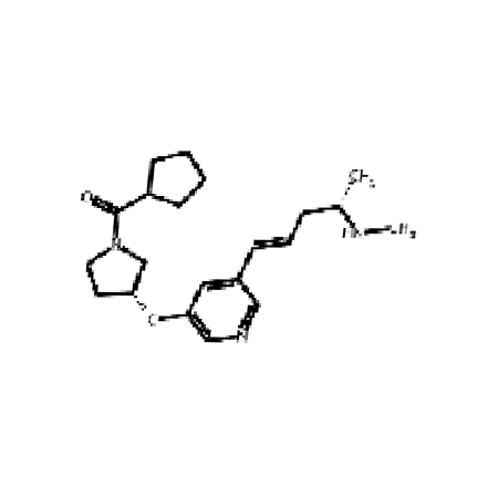 CN[C@@H](C)C/C=C/c1cncc(O[C@@H]2CCN(C(=O)C3CCCC3)C2)c1